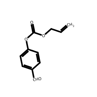 C=CCOC(=O)Oc1ccc(C=O)cc1